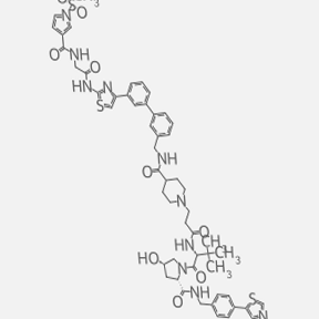 Cc1ncsc1-c1ccc(CNC(=O)[C@@H]2C[C@@H](O)CN2C(=O)[C@@H](NC(=O)CCN2CCC(C(=O)NCc3cccc(-c4cccc(-c5csc(NC(=O)CNC(=O)c6ccn(S(C)(=O)=O)c6)n5)c4)c3)CC2)C(C)(C)C)cc1